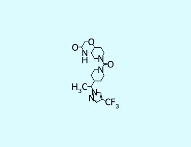 CC(C1CCN(C(=O)N2CCC3OCC(=O)NC3C2)CC1)n1cc(C(F)(F)F)cn1